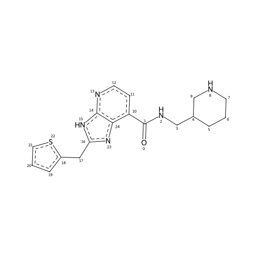 O=C(NCC1CCCNC1)c1ccnc2[nH]c(Cc3cccs3)nc12